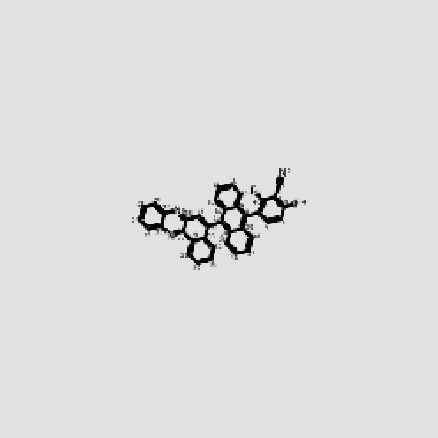 N#Cc1c(F)ccc(-c2c3ccccc3c(-c3cc4nc5ccccc5nc4c4ccccc34)c3ccccc23)c1F